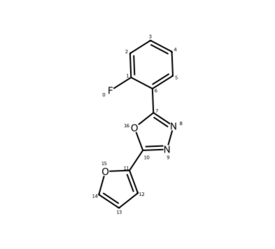 Fc1ccccc1-c1nnc(-c2ccco2)o1